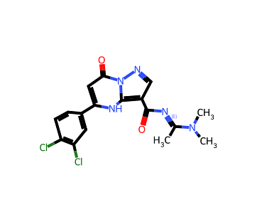 C/C(=N\C(=O)c1cnn2c(=O)cc(-c3ccc(Cl)c(Cl)c3)[nH]c12)N(C)C